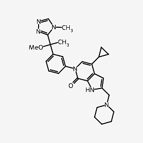 COC(C)(c1cccc(-n2cc(C3CC3)c3cc(CN4CCCCC4)[nH]c3c2=O)c1)c1nncn1C